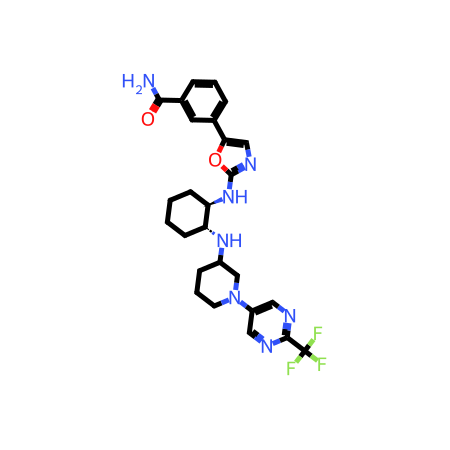 NC(=O)c1cccc(-c2cnc(N[C@@H]3CCCC[C@H]3NC3CCCN(c4cnc(C(F)(F)F)nc4)C3)o2)c1